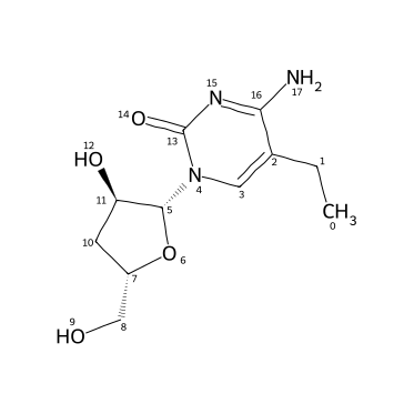 CCc1cn([C@@H]2O[C@H](CO)C[C@H]2O)c(=O)nc1N